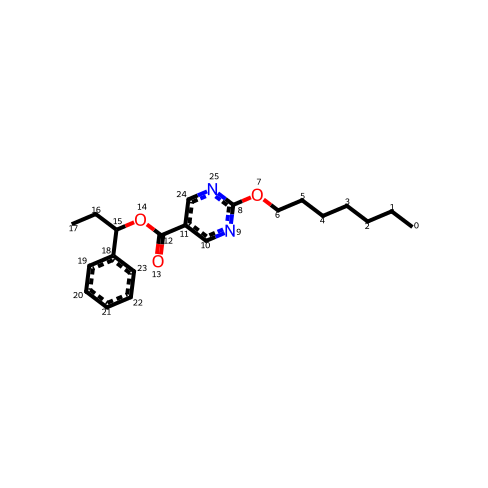 CCCCCCCOc1ncc(C(=O)OC(CC)c2ccccc2)cn1